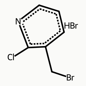 Br.Clc1ncccc1CBr